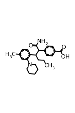 CCCC(c1ccc(C)cc1N1CCCCC1)C(C(N)=O)c1ccc(C(=O)O)cc1